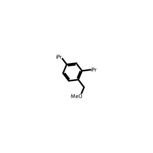 COCc1ccc(C(C)C)cc1C(C)C